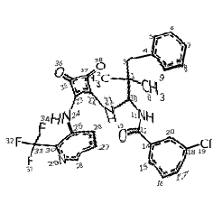 CC(C)(Cc1ccccc1)C(NC(=O)c1cccc(Cl)c1)Nc1c(Nc2cccnc2C(F)(F)F)c(=O)c1=O